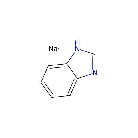 [Na].c1ccc2[nH]cnc2c1